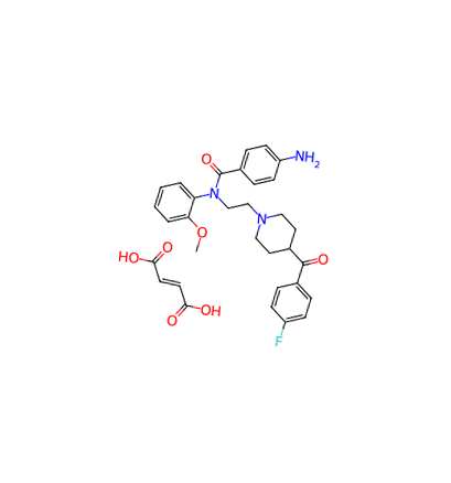 COc1ccccc1N(CCN1CCC(C(=O)c2ccc(F)cc2)CC1)C(=O)c1ccc(N)cc1.O=C(O)C=CC(=O)O